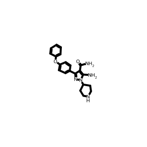 NC(=O)c1c(-c2ccc(Oc3ccccc3)cc2)nn(C2CCNCC2)c1N